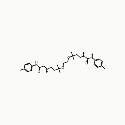 Cc1ccc(NC(=O)CNCCC(C)(C)OCCOC(C)(C)CCNC(=O)Nc2ccc(C)cc2)cc1